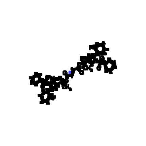 CNC(C)(OC(=O)/C=C/C(=O)OC(C)(NC)c1cc(-c2ccccc2F)n(S(=O)(=O)c2cccnc2)c1)c1cc(-c2ccccc2F)n(S(=O)(=O)c2cccnc2)c1